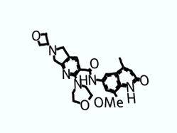 COc1cc(NC(=O)c2cc3c(nc2N2CCOCC2)CN(C2COC2)C3)cc2c(C)cc(=O)[nH]c12